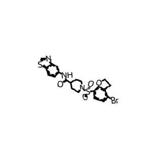 O=C(Nc1ccc2scnc2c1)C1CCN(S(=O)(=O)c2ccc(Br)c3c2OCC3)CC1